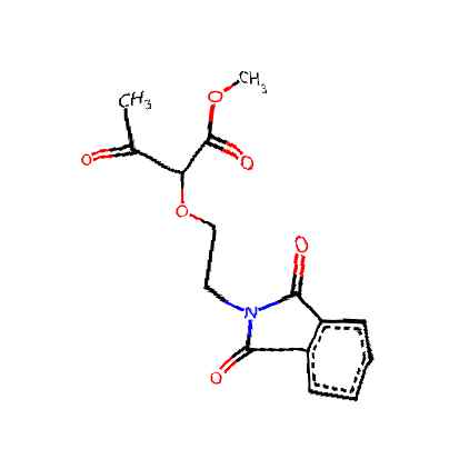 COC(=O)C(OCCN1C(=O)c2ccccc2C1=O)C(C)=O